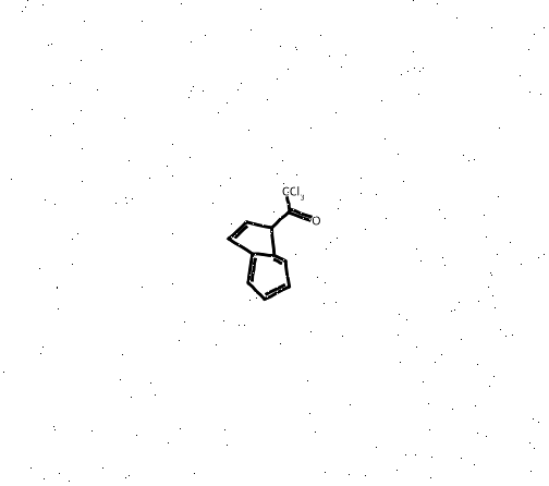 O=C(C1C=Cc2ccccc21)C(Cl)(Cl)Cl